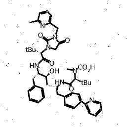 Cc1cccc(CN2C(=O)CN([C@H](C(=O)N[C@@H](Cc3ccccc3)[C@@H](O)C[C@@H](Cc3ccc(-c4ccccn4)cc3)NC(=O)[C@@H](N(C)C(=O)O)C(C)(C)C)C(C)(C)C)C2=O)n1